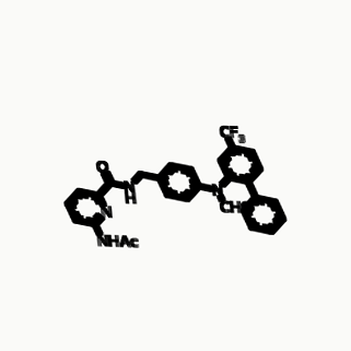 CC(=O)Nc1cccc(C(=O)NCc2ccc(N(C=O)c3cc(C(F)(F)F)ccc3-c3ccccc3)cc2)n1